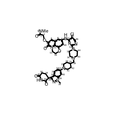 CNC(=O)COc1cc2cc(Nc3nc(N4CCN(CC5CCN(c6ccc7c(C8CCC(=O)NC8=O)nn(C)c7c6)CC5)CC4)ncc3Cl)cc3c2n(c1=O)CCO3